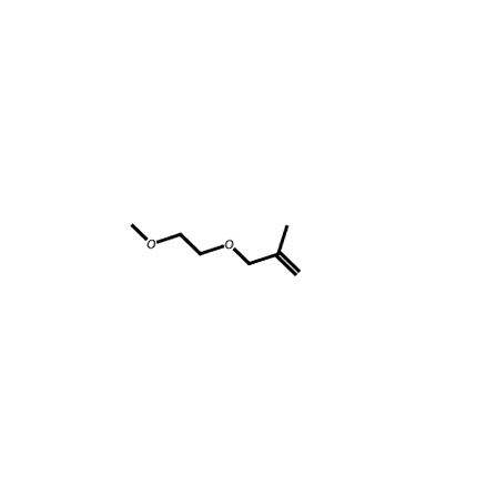 C=C(C)COCCOC